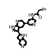 CC(C)CC(=O)Nc1cncc(-c2cnc3[nH]nc(-c4cc5cnccc5[nH]4)c3c2)c1